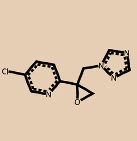 Clc1ccc(C2(Cn3cncn3)CO2)nc1